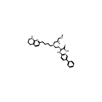 COC[C@@H](F)CN(CCCCc1ccc2c(n1)NCCC2)CC[C@H](Nc1ccc(-c2ccccc2)cn1)C(=O)O